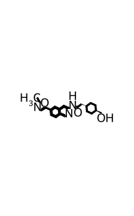 Cc1ncc(-c2ccc3cnc(NC(=O)C[C@H]4CC[C@H](CO)CC4)cc3c2)o1